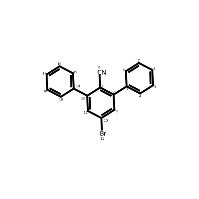 N#Cc1c(-c2ccccc2)cc(Br)cc1-c1ccccc1